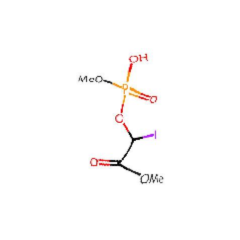 COC(=O)C(I)OP(=O)(O)OC